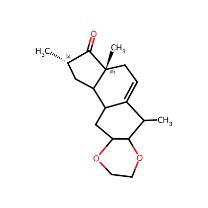 CC1C2=CC[C@@]3(C)C(=O)[C@@H](C)CC3C2CC2OCCOC21